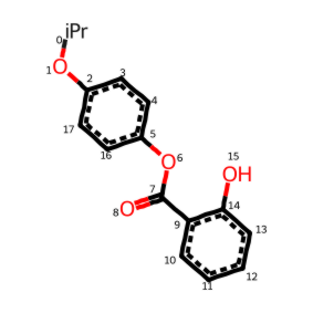 CC(C)Oc1ccc(OC(=O)c2ccccc2O)cc1